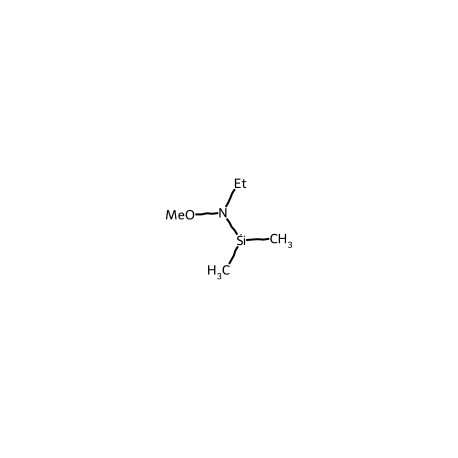 CCN(OC)[Si](C)C